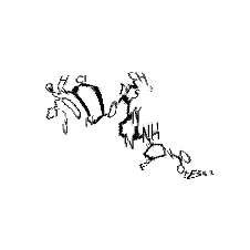 Cc1nc(Oc2cnc(NS(=O)(=O)CC(F)(F)F)c(Cl)c2)c(-c2ccnc(N[C@H]3C[C@H](F)CN(C(=O)OC(C)(C)C)C3)n2)s1